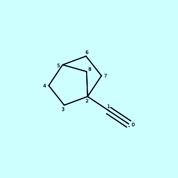 [C]#CC12CCC(CC1)C2